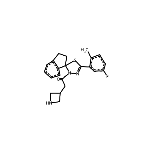 Cc1ccc(F)cc1C1=NN(C(=O)CC2CNC2)C2(CCc3ccccc32)S1